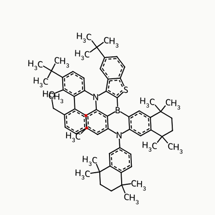 CCc1ccccc1-c1c(N2c3cc(C)cc4c3B(c3cc5c(cc3N4c3ccc4c(c3)C(C)(C)CCC4(C)C)C(C)(C)CCC5(C)C)c3sc4ccc(C(C)(C)C)cc4c32)ccc(C(C)(C)C)c1O